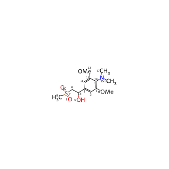 COc1cc(C(O)CS(C)(=O)=O)cc(OC)c1N(C)C